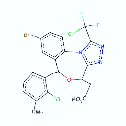 COc1cccc(C2OC(CC(=O)O)c3nnc(C(F)(F)Cl)n3-c3ccc(Br)cc32)c1Cl